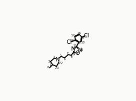 CC1CCN(CCCCc2nc(-c3cc(Cl)ccc3Cl)no2)CC1